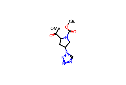 COC(=O)C1CC(n2cnnn2)CN1C(=O)OC(C)(C)C